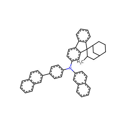 CC1CC2CCCC(C2)C12c1ccccc1-c1ccc(N(c3ccc(-c4ccc5ccccc5c4)cc3)c3ccc4ccccc4c3)cc12